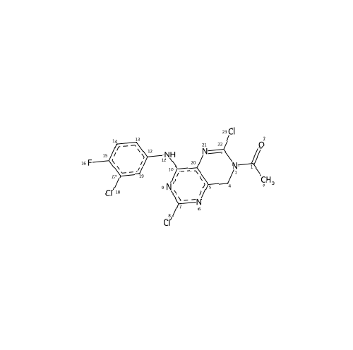 CC(=O)N1Cc2nc(Cl)nc(Nc3ccc(F)c(Cl)c3)c2N=C1Cl